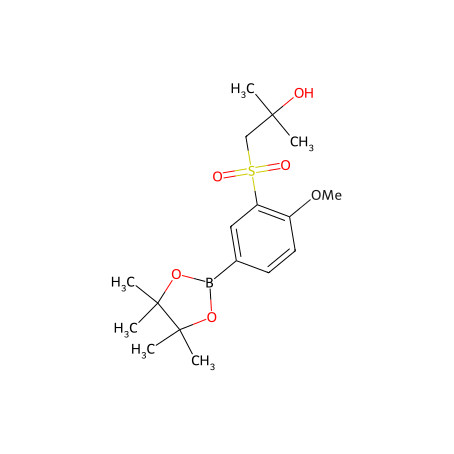 COc1ccc(B2OC(C)(C)C(C)(C)O2)cc1S(=O)(=O)CC(C)(C)O